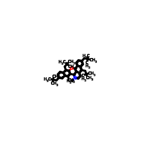 Cc1c2c(c(CC(C)(C)C)c3ccc(CC(C)(C)C)cc13)Oc1c3ccc(CC(C)(C)C)cc3c(CC(C)(C)C)c3cc[n+](C)c-2c13